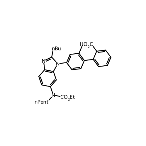 CCCCCN(C(=O)OCC)c1ccc2nc(CCCC)n(-c3ccc(-c4ccccc4C(=O)O)c(C)c3)c2c1